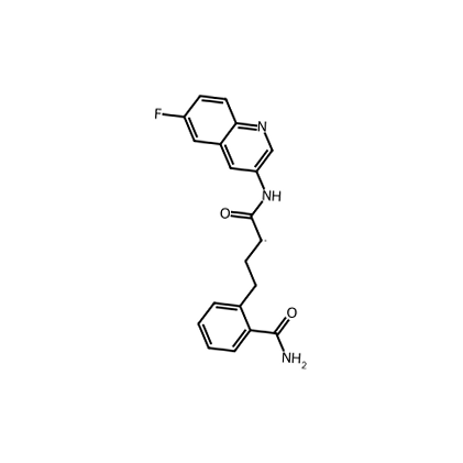 NC(=O)c1ccccc1CC[CH]C(=O)Nc1cnc2ccc(F)cc2c1